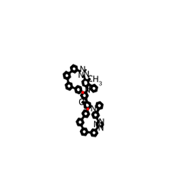 CC1c2c(n(-c3ccc4oc5ccc(-n6c7ccccc7c7cc(-c8ncnc(-c9cccc(-c%10cccc(-c%11cccc(-c%12ccccc%12)c%11)c%10)c9)n8)ccc76)cc5c4c3)c3ccccc23)C=CC1c1ncnc(-c2cccc(-c3cccc(-c4cccc(-c5ccccc5)c4)c3)c2)n1